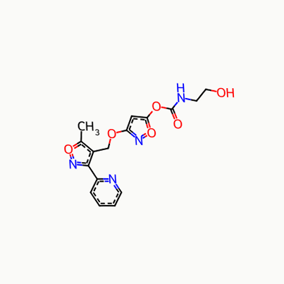 Cc1onc(-c2ccccn2)c1COc1cc(OC(=O)NCCO)on1